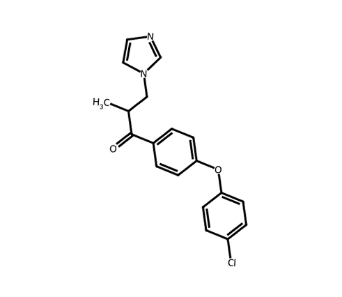 CC(Cn1ccnc1)C(=O)c1ccc(Oc2ccc(Cl)cc2)cc1